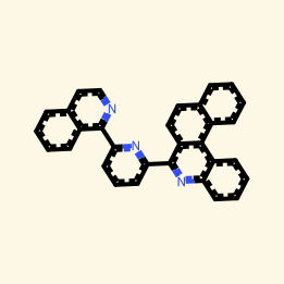 c1cc(-c2nccc3ccccc23)nc(-c2nc3ccccc3c3c2ccc2ccccc23)c1